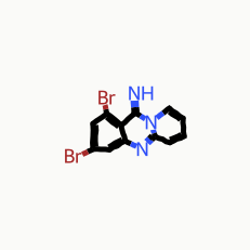 N=c1c2c(Br)cc(Br)cc2nc2ccccn12